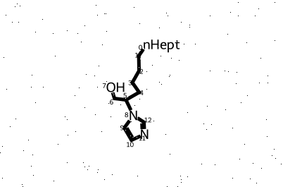 CCCCCCCCCCCC(CO)n1ccnc1